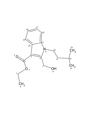 CCOC(=O)c1c(CO)n(CCC(C)C)c2ccccc12